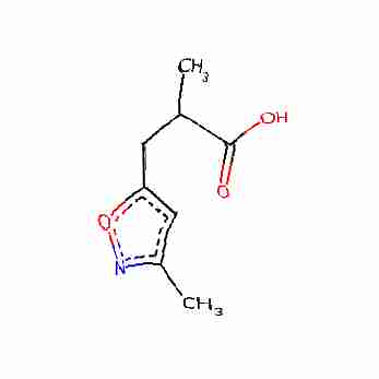 Cc1cc(CC(C)C(=O)O)on1